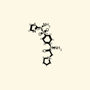 NN(C(=O)CN1CCCC1)c1ccc(S(=O)(=O)N(N)c2nccs2)cc1